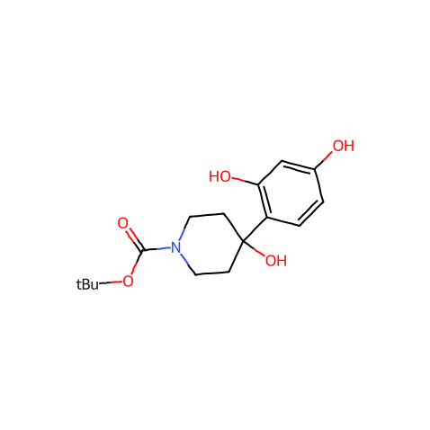 CC(C)(C)OC(=O)N1CCC(O)(c2ccc(O)cc2O)CC1